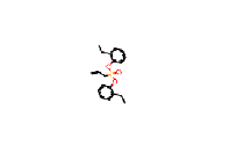 C=CCP(=O)(Oc1ccccc1CC)Oc1ccccc1CC